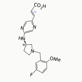 COc1ccc(F)cc1CN1CC[C@@H](Nc2cnc(/C=C/C(=O)O)cn2)C1